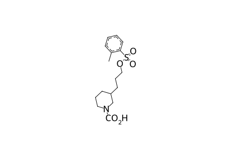 Cc1ccccc1S(=O)(=O)OCCCC1CCCN(C(=O)O)C1